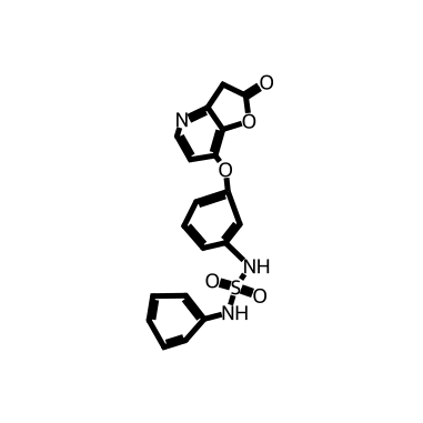 O=C1Cc2nccc(Oc3cccc(NS(=O)(=O)Nc4ccccc4)c3)c2O1